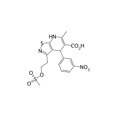 CC1=C(C(=O)O)C(c2cccc([N+](=O)[O-])c2)c2c(CCOS(C)(=O)=O)nsc2N1